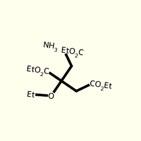 CCOC(=O)CC(CC(=O)OCC)(OCC)C(=O)OCC.N